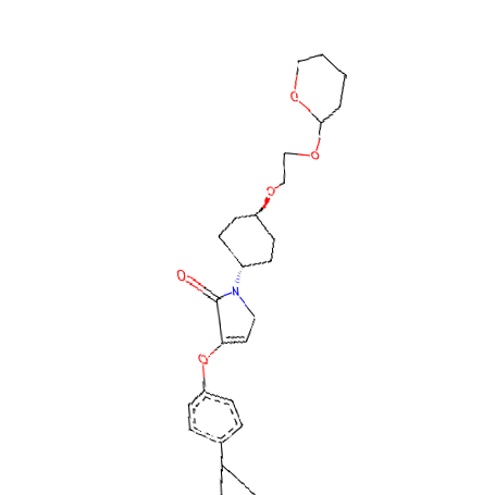 O=C1C(Oc2ccc(C3CC3)cc2)=CCN1[C@H]1CC[C@H](OCCOC2CCCCO2)CC1